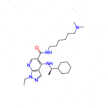 CCn1ncc2c(N[C@H](C)C3CCCCC3)c(C(=O)NCCCCCCN(C)C)cnc21